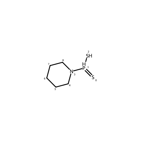 S=[PH](S)N1CCCCC1